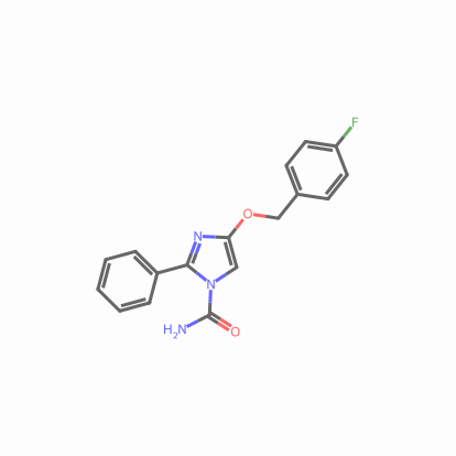 NC(=O)n1cc(OCc2ccc(F)cc2)nc1-c1ccccc1